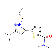 CCCn1nc(C(C)C)cc1-c1ccc(C(=O)N(C)C)s1